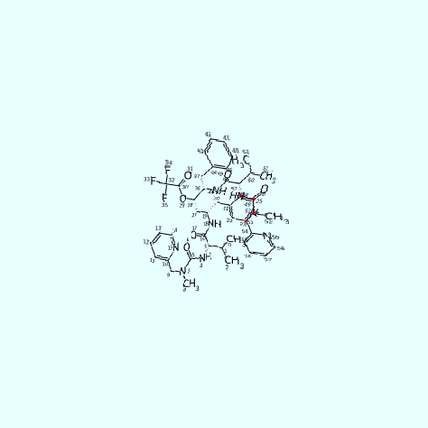 CC(C)[C@H](NC(=O)N(C)Cc1ccccn1)C(=O)N[C@@H](Cc1ccccc1)C[C@H](OC(=O)C(F)(F)F)[C@H](Cc1ccccc1)NC(=O)[C@@H](NC(=O)N(C)Cc1ccccn1)C(C)C